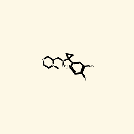 CN1CCOC[C@H]1CN(C(=O)O)C1(c2ccc(F)c(C(F)(F)F)c2)CC1